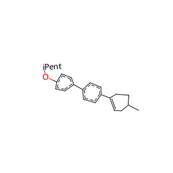 CCCC(C)Oc1ccc(-c2ccc(C3=CCC(C)CC3)cc2)cc1